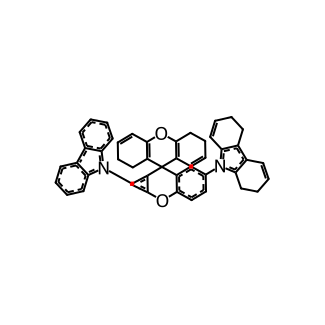 C1=CC2=C(CC1)OC1=C(CCC=C1)C21C2=CC(n3c4ccccc4c4ccccc43)CC=C2Oc2ccc(-n3c4c(c5c3CCC=C5)CCC=C4)cc21